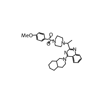 COc1ccc(S(=O)(=O)N2CCN(C(C)c3nc(N4CCC5CCCCC5C4)c4ccccc4n3)CC2)cc1